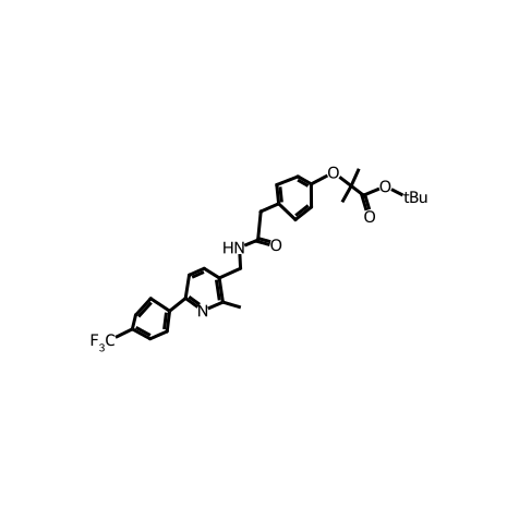 Cc1nc(-c2ccc(C(F)(F)F)cc2)ccc1CNC(=O)Cc1ccc(OC(C)(C)C(=O)OC(C)(C)C)cc1